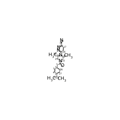 CC(C)c1ccc(CC(=O)N2C[C@@H](C)N(c3ccc(C#N)nn3)[C@@H](C)C2)cc1